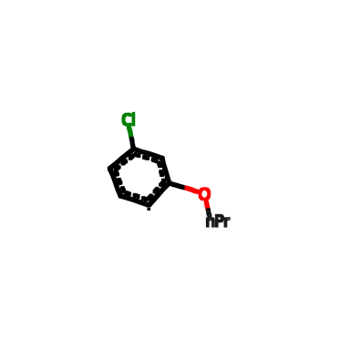 CCCOc1[c]ccc(Cl)c1